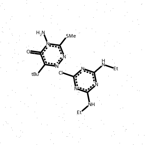 CCNc1nc(Cl)nc(NCC)n1.CSc1nnc(C(C)(C)C)c(=O)n1N